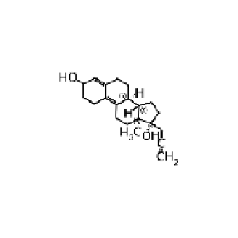 C=C=C[C@]1(O)CC[C@H]2[C@@H]3CCC4=CC(O)CCC4=C3CC[C@@]21C